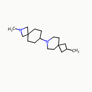 CC1CC2(CCN(C3CCC4(CC3)CN(C)C4)CC2)C1